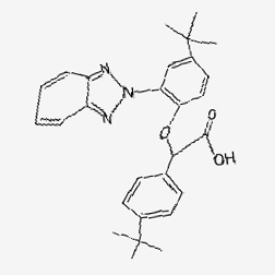 CC(C)(C)c1ccc(C(Oc2ccc(C(C)(C)C)cc2-n2nc3ccccc3n2)C(=O)O)cc1